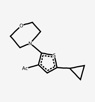 CC(=O)c1cc(C2CC2)sc1N1CCOCC1